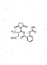 CCCC(=O)Oc1ccccc1C(=O)ON(C(C)CC=O)N1C(=O)CCC1=O